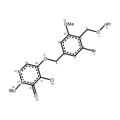 CCCOCc1c(Br)cc(COc2cnn(C(C)(C)C)c(=O)c2Cl)cc1OC